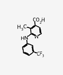 Cc1c(C(=O)O)ccnc1Nc1cccc(C(F)(F)F)c1